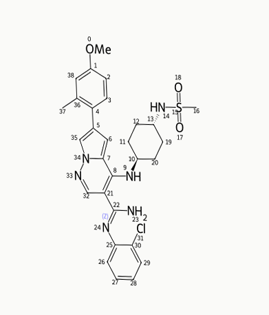 COc1ccc(-c2cc3c(N[C@H]4CC[C@H](NS(C)(=O)=O)CC4)c(/C(N)=N/c4ccccc4Cl)cnn3c2)c(C)c1